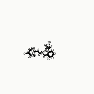 Cc1cnc(CC=NCc2ccccc2O[Si](C)(C)C)nc1